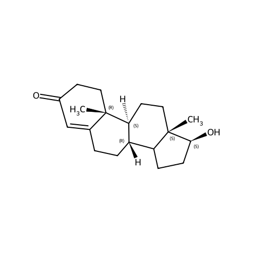 C[C@]12CCC(=O)C=C1CC[C@H]1C3CC[C@H](O)[C@@]3(C)CC[C@@H]12